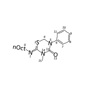 CCCCCCCCN=C1SCN(c2ccccc2)C(=O)N1C